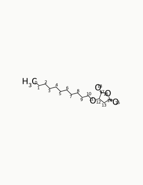 CCCCCCCCCCCOC1CC(=O)OC1=O